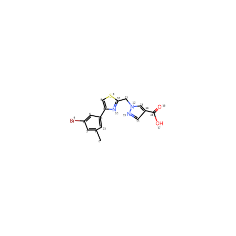 Cc1cc(Br)cc(-c2csc(Cn3cc(C(=O)O)cn3)n2)c1